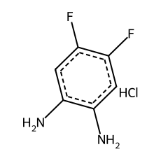 Cl.Nc1cc(F)c(F)cc1N